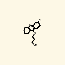 OCCCNc1c2c(nc3cc(Cl)ccc13)CCCC2